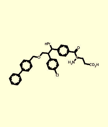 CCCC(c1ccc(C(=O)N(N)CCC(=O)O)cc1)C(COCc1ccc(-c2ccccc2)cc1)c1ccc(Cl)cc1